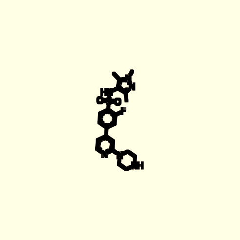 Cc1nn(C)c(C)c1NS(=O)(=O)c1ccc(-c2ccnc(N3CCNCC3)c2)cc1F